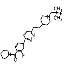 CC(C)(F)CN1CCC(CCc2ccc(-c3ccc(C(=O)N4CCCCC4)c(F)c3)nn2)CC1